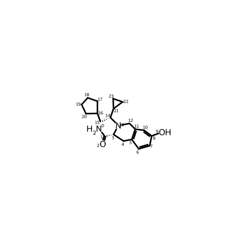 NC(=O)[C@H]1Cc2ccc(O)cc2CN1[C@H](CC1CCCC1)C1CC1